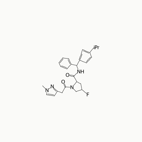 CC(C)c1ccc(C(NC(=O)C2CC(F)CN2C(=O)Cc2ccn(C)n2)c2ccccc2)cc1